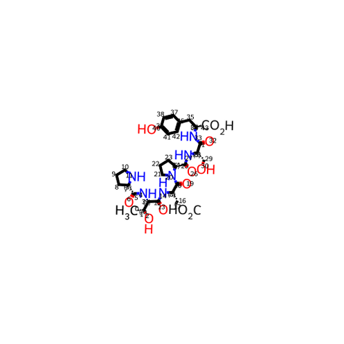 C[C@@H](O)[C@H](NC(=O)[C@@H]1CCCN1)C(=O)N[C@@H](CC(=O)O)C(=O)N1CCC[C@H]1C(=O)N[C@@H](CO)C(=O)N[C@@H](Cc1ccc(O)cc1)C(=O)O